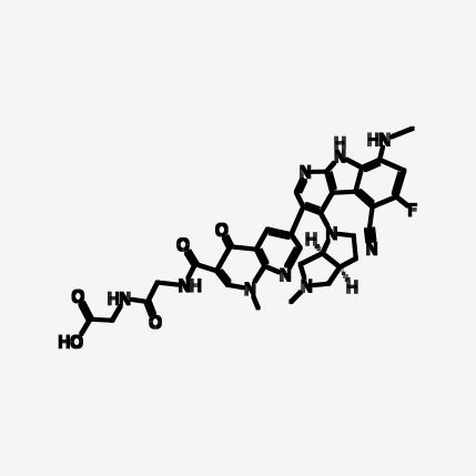 CNc1cc(F)c(C#N)c2c1[nH]c1ncc(-c3cnc4c(c3)c(=O)c(C(=O)NCC(=O)NCC(=O)O)cn4C)c(N3CC[C@H]4CN(C)C[C@H]43)c12